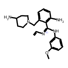 C=C/N=C(/Nc1cccc(OC)c1)c1c(N)cccc1CN1CCC(N)CC1